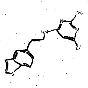 Cc1nc(Cl)cc(NCCc2ccc3sccc3c2)n1